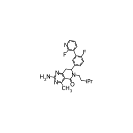 Cc1nc(N)nc2c1C(=O)N(CCC(C)C)C(c1ccc(F)c(-c3cccnc3F)c1)C2